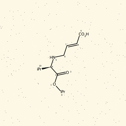 CC(C)OC(=O)[C@H](NC/C=C/C(=O)O)C(C)C